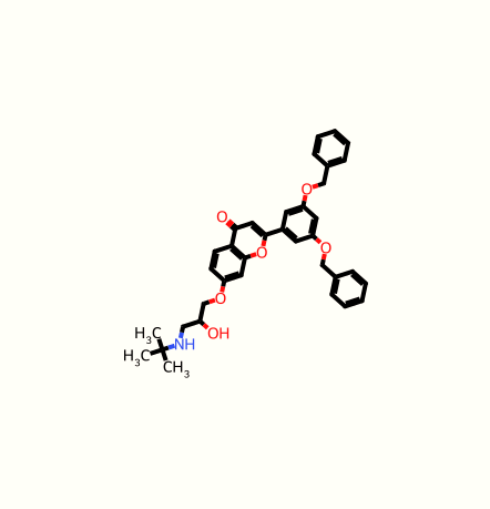 CC(C)(C)NCC(O)COc1ccc2c(=O)cc(-c3cc(OCc4ccccc4)cc(OCc4ccccc4)c3)oc2c1